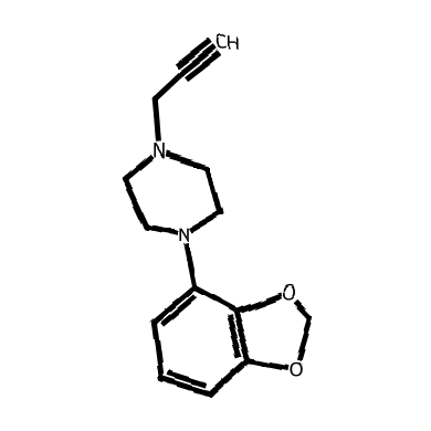 C#CCN1CCN(c2cccc3c2OCO3)CC1